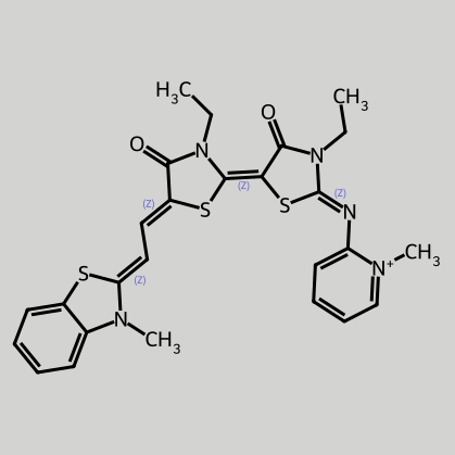 CCN1C(=O)/C(=c2/s/c(=C\C=C3/Sc4ccccc4N3C)c(=O)n2CC)S/C1=N\c1cccc[n+]1C